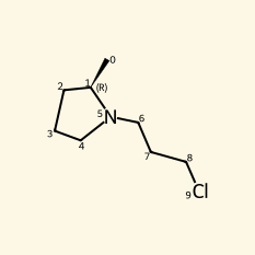 C[C@@H]1CCCN1CCCCl